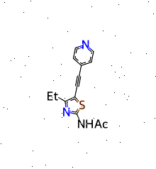 CCc1nc(NC(C)=O)sc1C#Cc1ccncc1